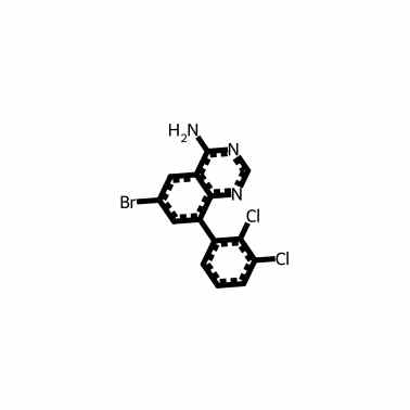 Nc1ncnc2c(-c3cccc(Cl)c3Cl)cc(Br)cc12